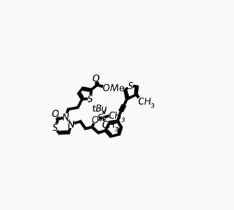 COC(=O)c1ccc(CCN2C(=O)SC=CN2CCC(Cc2cccc(C#Cc3cscc3C)c2)O[Si](C)(C)C(C)(C)C)s1